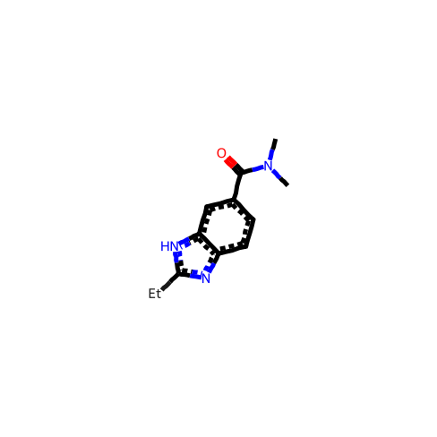 CCc1nc2ccc(C(=O)N(C)C)cc2[nH]1